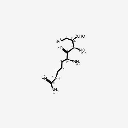 CC(C)C[C@@H](C=O)N(C(=O)[C@@H](N)CCCNC(=N)N)[N+](=O)[O-]